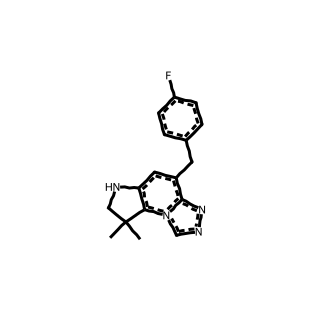 CC1(C)CNc2cc(Cc3ccc(F)cc3)c3nncn3c21